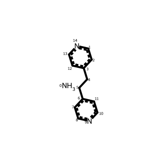 N.c1cc(CCc2ccncc2)ccn1